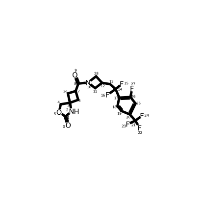 O=C1NC2(CO1)CC(C(=O)N1CC(CC(F)(F)c3ccc(C(F)(F)F)cc3F)C1)C2